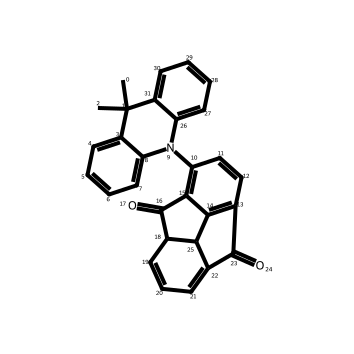 CC1(C)c2ccccc2N(c2ccc3c4c2C(=O)C2C=CC=C(C3=O)C42)c2ccccc21